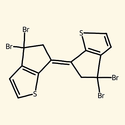 BrC1(Br)C/C(=C2/CC(Br)(Br)c3ccsc32)c2sccc21